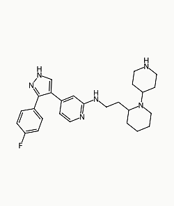 Fc1ccc(-c2n[nH]cc2-c2ccnc(NCCC3CCCCN3C3CCNCC3)c2)cc1